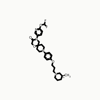 C[C@H]1CCCN(CCCOc2ccc(N3CCC4(CC3)CN(c3ccc(OC(F)F)nc3)C(=O)CO4)cc2)C1